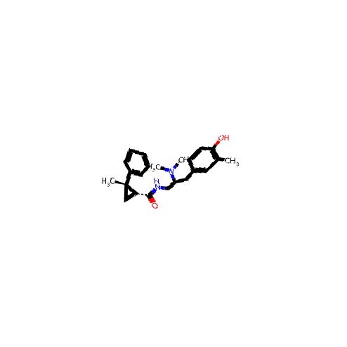 Cc1cc(CC(CNC(=O)[C@@H]2C[C@]2(C)c2ccccc2)N(C)C)ccc1O